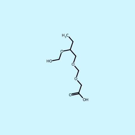 CCC(COCOCC(=O)O)OCO